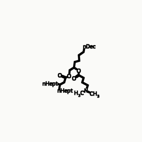 CCCCCCCCCCCCCCC(COC(=O)CC(CCCCCCC)CCCCCCC)OC(=O)CCCN(C)C